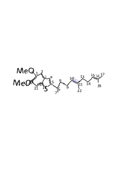 COc1cc2cc(C(C)CC/C=C(\C)CCC=C(C)C)sc2cc1OC